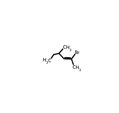 CCC(C)C=C(C)Br